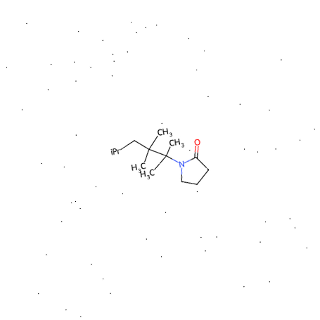 CC(C)CC(C)(C)C(C)(C)N1CCCC1=O